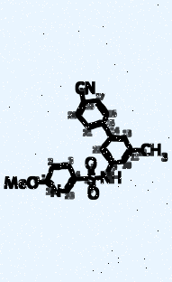 COc1ccc(S(=O)(=O)Nc2cc(C)cc(-c3ccc(C#N)cc3)c2)cn1